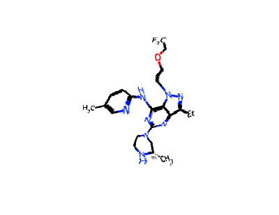 CCc1nn(CCOCC(F)(F)F)c2c(Nc3ccc(C)cn3)nc(N3CCN[C@@H](C)C3)nc12